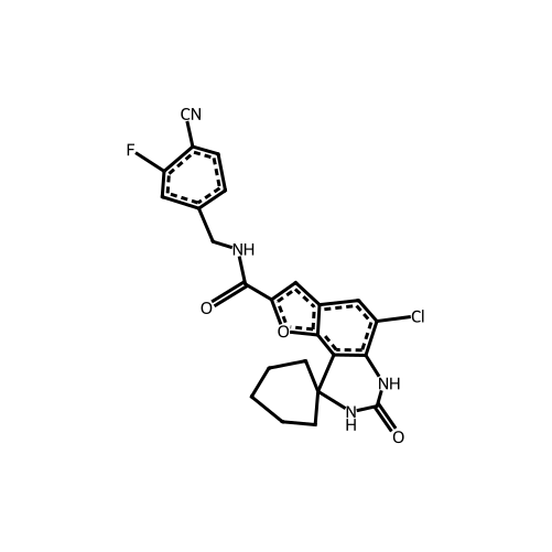 N#Cc1ccc(CNC(=O)c2cc3cc(Cl)c4c(c3o2)C2(CCCCC2)NC(=O)N4)cc1F